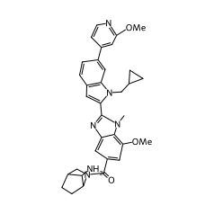 COc1cc(-c2ccc3cc(-c4nc5cc(C(=O)N6CC7CCC6C7N)cc(OC)c5n4C)n(CC4CC4)c3c2)ccn1